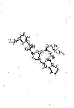 CC(C)[C@@H]1Nc2nc(nc3ccccc23)CN2CCN(C(=O)Nc3cccc(N)c3)CC2NC1=O